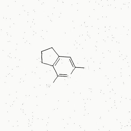 N#Cc1nc(Cl)cc2c1CCC2